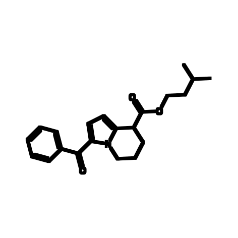 CC(C)CCOC(=O)C1CCCn2c(C(=O)c3ccccc3)ccc21